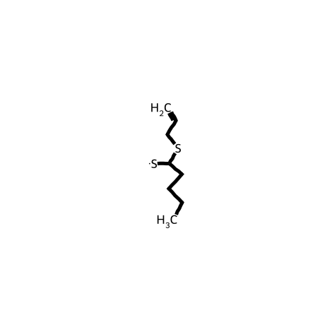 C=CCSC([S])CCCC